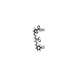 CC(=O)N(CCCc1cccc(Cl)c1)CCCc1ccc(C(=O)O)o1